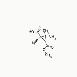 COC(=O)C1C(C)(C)C1(C#N)C(=O)O